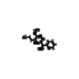 CC(=O)CC[C@H](NC(=O)[C@H](O)c1ccccn1)C(=O)OC(C)C